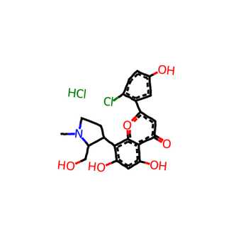 CN1CCC(c2c(O)cc(O)c3c(=O)cc(-c4cc(O)ccc4Cl)oc23)C1CO.Cl